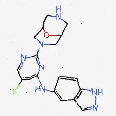 Fc1cnc(N2CC3CNCC(C2)O3)nc1Nc1ccc2[nH]ncc2c1